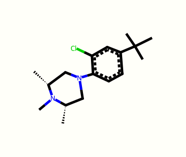 C[C@@H]1CN(c2ccc(C(C)(C)C)cc2Cl)C[C@H](C)N1C